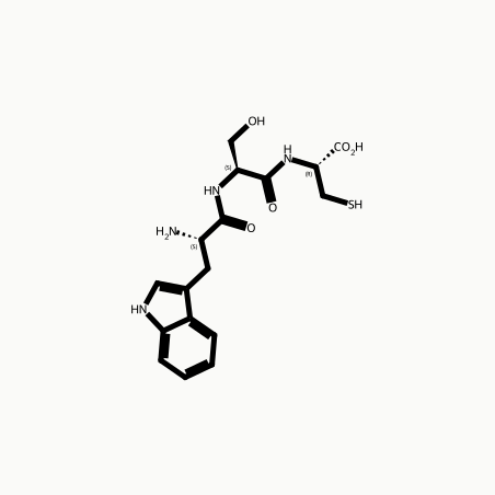 N[C@@H](Cc1c[nH]c2ccccc12)C(=O)N[C@@H](CO)C(=O)N[C@@H](CS)C(=O)O